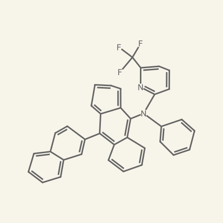 FC(F)(F)c1cccc(N(c2ccccc2)c2c3ccccc3c(-c3ccc4ccccc4c3)c3ccccc23)n1